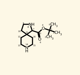 CC(C)(C)OC(=O)C1NCCC12CCNCC2